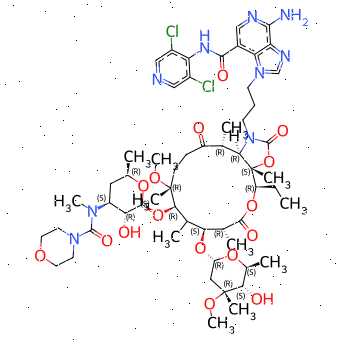 CC[C@H]1OC(=O)[C@H](C)[C@@H](O[C@H]2C[C@@](C)(OC)[C@@H](O)[C@H](C)O2)C(C)[C@@H](O[C@@H]2O[C@H](C)C[C@H](N(C)C(=O)N3CCOCC3)[C@H]2O)[C@](C)(OC)CCC(=O)[C@H](C)[C@H]2N(CCCn3cnc4c(N)ncc(C(=O)Nc5c(Cl)cncc5Cl)c43)C(=O)O[C@]12C